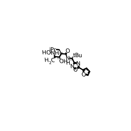 C=C(NO)[C@@H](O)[C@@H](CC(C)C)C(=O)N[C@H](c1noc(-c2ccco2)n1)C(C)(C)C